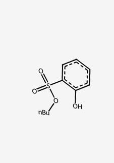 CCCCOS(=O)(=O)c1ccccc1O